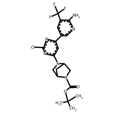 CC(C)(C)OC(=O)N1CC2CC1CN2c1cc(-c2cnc(N)c(C(F)(F)F)c2)nc(Cl)n1